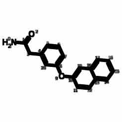 NC(=O)Cc1cccc(Oc2ccc3ccccc3c2)c1